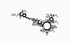 CC[C@H]1OC(=O)[C@H](C)[C@@H](O[C@H]2C[C@@](C)(OC)[C@@H](OS(=O)(=O)CCNCCCc3ccc4c(c3)c(=O)c(C(=O)O)cn4C)[C@H](C)O2)[C@H](C)[C@@H](O[C@@H]2O[C@H](C)C[C@H](N(C)C)[C@H]2O)[C@](C)(O)C[C@@H](C)/C(=N\O)[C@H](C)[C@H]2OC(=O)O[C@@]21C